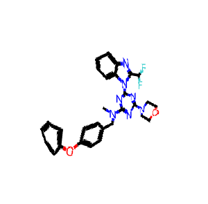 CN(Cc1ccc(Oc2ccccc2)cc1)c1nc(N2CCOCC2)nc(-n2c(C(F)F)nc3ccccc32)n1